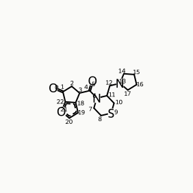 O=C1CC(C(=O)N2CCSCC2CN2CCCC2)c2ccoc21